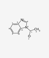 CC([O])n1cnc2ccccc21